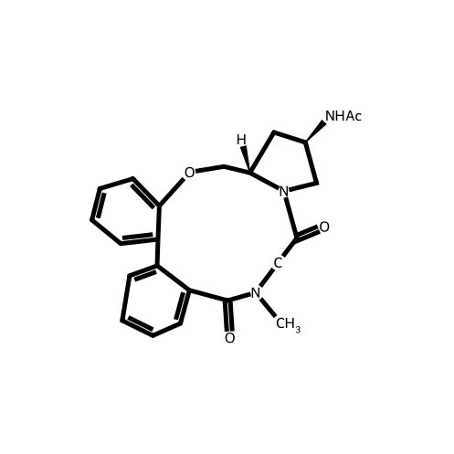 CC(=O)N[C@@H]1C[C@H]2COc3ccccc3-c3ccccc3C(=O)N(C)CC(=O)N2C1